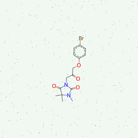 CN1C(=O)N(CC(=O)COc2ccc(Br)cc2)C(=O)C1(C)C